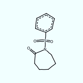 O=C1CCCCCN1S(=O)(=O)c1ccccc1